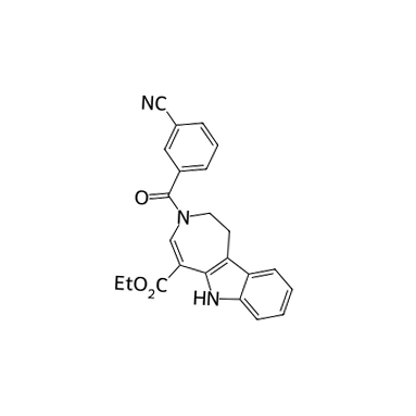 CCOC(=O)C1=CN(C(=O)c2cccc(C#N)c2)CCc2c1[nH]c1ccccc21